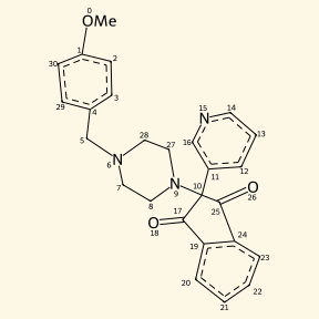 COc1ccc(CN2CCN(C3(c4cccnc4)C(=O)c4ccccc4C3=O)CC2)cc1